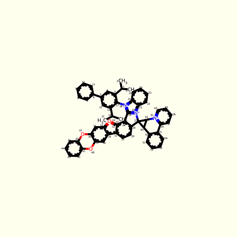 CC(C)c1cc(-c2ccccc2)cc(C(C)C)c1-n1c2[n+](c3ccccc31)C1(c3ccc4c(oc5cc6c(cc54)Oc4ccccc4O6)c3-2)C2c3ccccc3-c3cccc[n+]3C21